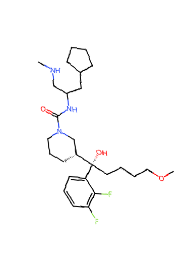 CNCC(CC1CCCC1)NC(=O)N1CCC[C@@H]([C@@](O)(CCCCOC)c2cccc(F)c2F)C1